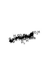 CN[C@H](C(=O)NC(C(=O)N(C)C/C=C(\C)C(=O)N[C@H](CCC(=O)NCCN1C(=O)C=CC1=O)C(=O)O)C(C)(C)C)C(C)(C)c1ccc(C(=O)O)cc1